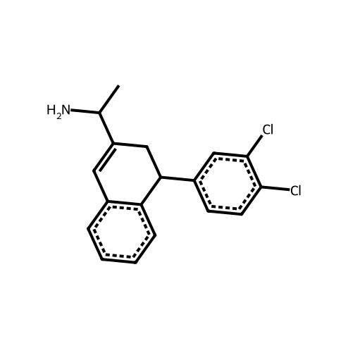 CC(N)C1=Cc2ccccc2C(c2ccc(Cl)c(Cl)c2)C1